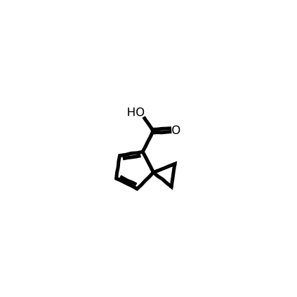 O=C(O)C1=CC=CC12CC2